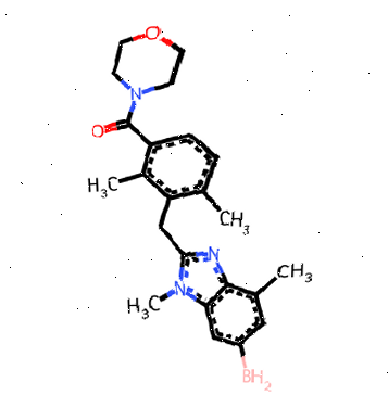 Bc1cc(C)c2nc(Cc3c(C)ccc(C(=O)N4CCOCC4)c3C)n(C)c2c1